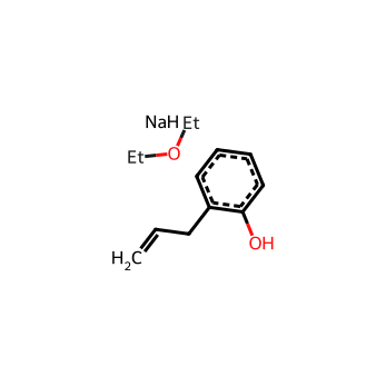 C=CCc1ccccc1O.CCOCC.[NaH]